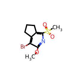 COc1nc(S(C)(=O)=O)c2c(c1Br)CCC2